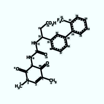 CC1=CN(C)C(=O)C(NC(=O)NC(CC(=O)O)c2cccc(-c3ccccc3C(F)(F)F)c2)C1=O